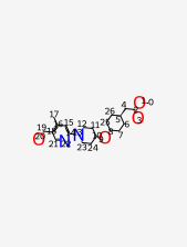 COC(=O)C[C@H]1CC[C@H](OC2CCN(c3cc(C)c(C=O)cn3)CC2)CC1